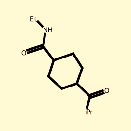 CCNC(=O)C1CCC(C(=O)C(C)C)CC1